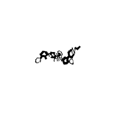 CCCN1CCC(c2cc(NC(=O)N3CCN(c4cccc(Cl)c4C)CC3)ccc2OC)CC1